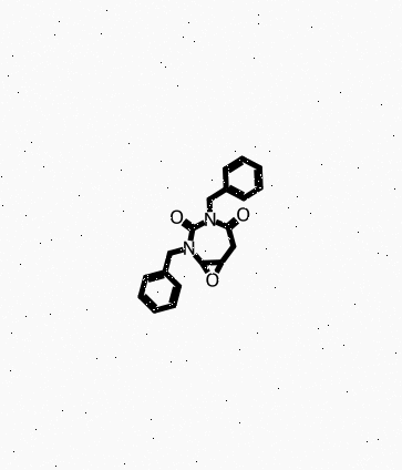 O=C1CC2OC2N(Cc2ccccc2)C(=O)N1Cc1ccccc1